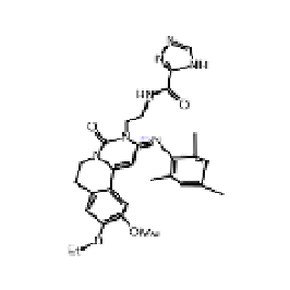 CCOc1cc2c(cc1OC)-c1c/c(=N\c3c(C)cc(C)cc3C)n(CCNC(=O)c3nnc[nH]3)c(=O)n1CC2